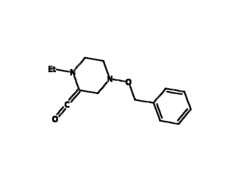 CCN1CCN(OCc2ccccc2)CC1=C=O